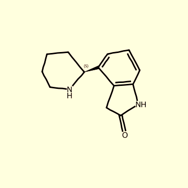 O=C1Cc2c(cccc2[C@@H]2CCCCN2)N1